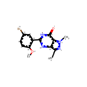 CCCc1nn(C)c2c(=O)[nH]c(-c3cc(Br)ccc3OCC)nc12